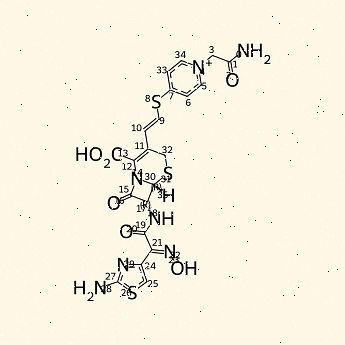 NC(=O)C[n+]1ccc(SC=CC2=C(C(=O)O)N3C(=O)[C@@H](NC(=O)C(=NO)c4csc(N)n4)[C@H]3SC2)cc1